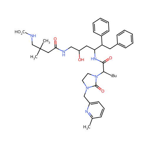 CCC(C)C(C(=O)NC(CC(O)CNC(=O)CC(C)(C)CNC(=O)O)C(Cc1ccccc1)c1ccccc1)N1CCN(Cc2cccc(C)n2)C1=O